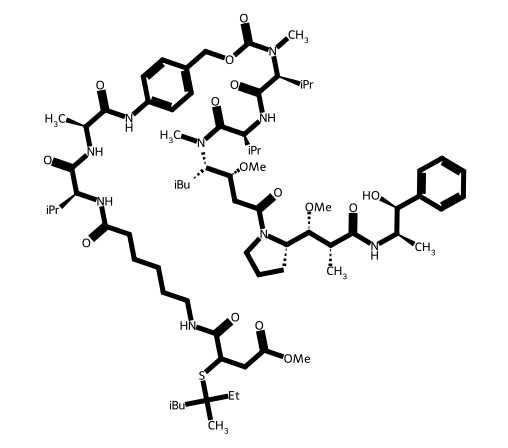 CCC(C)C(C)(CC)SC(CC(=O)OC)C(=O)NCCCCCC(=O)N[C@H](C(=O)N[C@@H](C)C(=O)Nc1ccc(COC(=O)N(C)[C@H](C(=O)N[C@H](C(=O)N(C)[C@@H]([C@@H](C)CC)[C@@H](CC(=O)N2CCC[C@H]2[C@H](OC)[C@@H](C)C(=O)N[C@H](C)[C@@H](O)c2ccccc2)OC)C(C)C)C(C)C)cc1)C(C)C